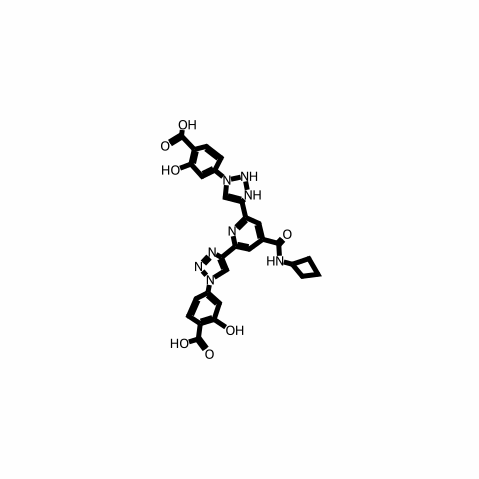 O=C(NC1CCC1)c1cc(C2=CN(c3ccc(C(=O)O)c(O)c3)NN2)nc(-c2cn(-c3ccc(C(=O)O)c(O)c3)nn2)c1